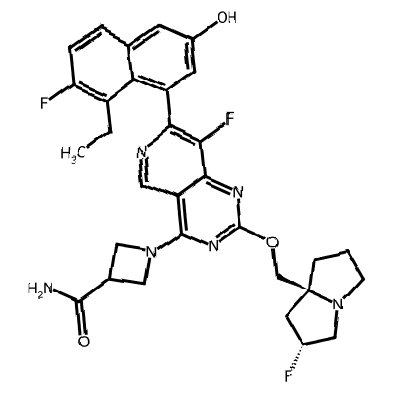 CCc1c(F)ccc2cc(O)cc(-c3ncc4c(N5CC(C(N)=O)C5)nc(OC[C@@]56CCCN5C[C@H](F)C6)nc4c3F)c12